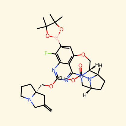 C=C1CN2CCC[C@@]2(COc2nc3c4c(cc(B5OC(C)(C)C(C)(C)O5)c(F)c4n2)OC[C@@H]2[C@@H]4CC[C@H](CN32)N4C(=O)OC(C)(C)C)C1